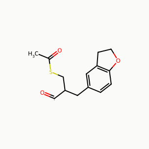 CC(=O)SCC([C]=O)Cc1ccc2c(c1)CCO2